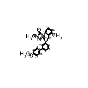 COc1ccc(-c2cccc(OCc3c(C)cccc3-n3nnn(C)c3=O)c2)cc1